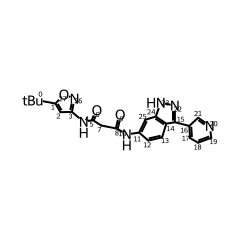 CC(C)(C)c1cc(NC(=O)CC(=O)Nc2ccc3c(-c4cccnc4)n[nH]c3c2)no1